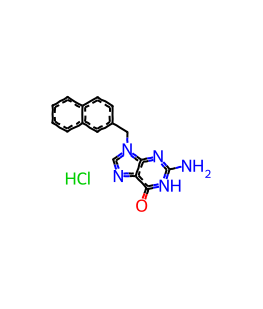 Cl.Nc1nc2c(ncn2Cc2ccc3ccccc3c2)c(=O)[nH]1